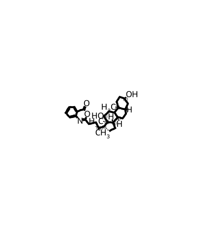 C[C@H](CCc1nc2ccccc2c(=O)o1)[C@H]1CC[C@H]2[C@@H]3CC[C@@H]4C[C@H](O)CC[C@]4(C)C3C[C@H](O)[C@]12C